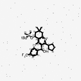 CC1(C)Cc2nc(C3CCCC3)c(C(O)c3ccc(C(F)(F)F)cc3)c(I)c2[C@@H](O[Si](C)(C)C(C)(C)C)C1